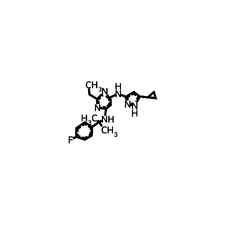 CCc1nc(Nc2cc(C3CC3)[nH]n2)cc(NC(C)(C)c2ccc(F)cc2)n1